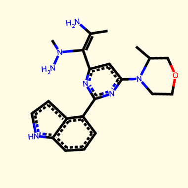 C/C(N)=C(\c1cc(N2CCOCC2C)nc(-c2cccc3[nH]ccc23)n1)N(C)N